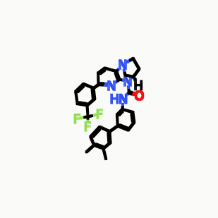 Cc1ccc(-c2cccc(NC(=O)N3c4nc(-c5cccc(C(F)(F)F)c5)ccc4N4CC[C@H]3C4)c2)cc1C